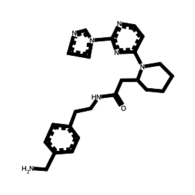 NCc1ccc(CCNC(=O)CC2CCCCN2c2ccnc(-n3ccnc3)n2)cc1